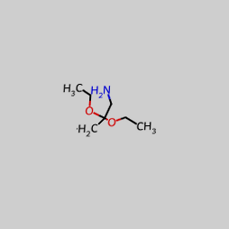 [CH2]C(CN)(OCC)OCC